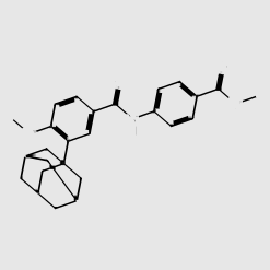 COC(=O)c1ccc(NC(=O)c2ccc(OC)c(C34CC5CC(CC(C5)C3)C4)c2)cc1